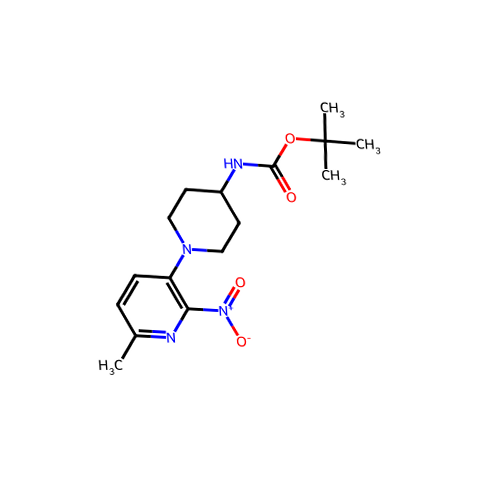 Cc1ccc(N2CCC(NC(=O)OC(C)(C)C)CC2)c([N+](=O)[O-])n1